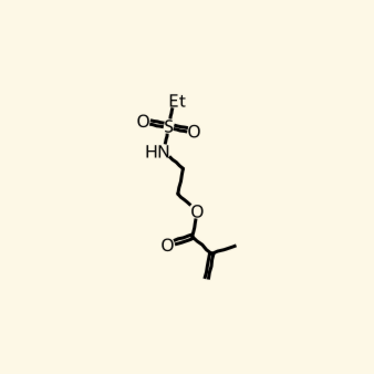 C=C(C)C(=O)OCCNS(=O)(=O)CC